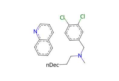 CCCCCCCCCCCCN(C)Cc1ccc(Cl)c(Cl)c1.c1ccc2ncccc2c1